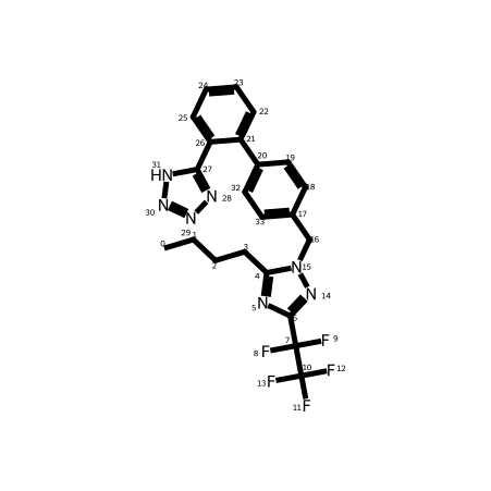 CCCCc1nc(C(F)(F)C(F)(F)F)nn1Cc1ccc(-c2ccccc2-c2nnn[nH]2)cc1